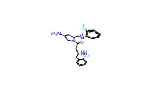 N[C@@H](CC(=O)N1C[C@@H](N)C[C@H]1CNc1ccccc1F)Cc1ccccc1F